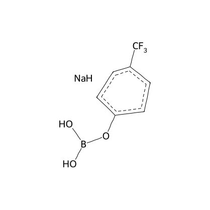 OB(O)Oc1ccc(C(F)(F)F)cc1.[NaH]